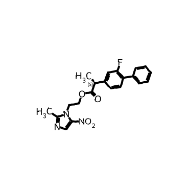 Cc1ncc([N+](=O)[O-])n1CCOC(=O)[C@@H](C)c1ccc(-c2ccccc2)c(F)c1